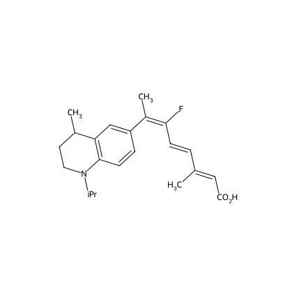 CC(/C=C/C(F)=C(/C)c1ccc2c(c1)C(C)CCN2C(C)C)=C\C(=O)O